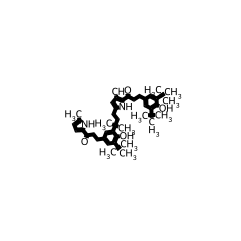 Cc1ccc(C(=O)CCc2cc(C(C)(C)C)c(O)c(C(C)(C)CCc3cc(C)c(C(=O)CCc4cc(C(C)(C)C)c(O)c(C(C)(C)C)c4)[nH]3)c2)[nH]1